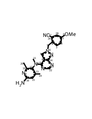 COc1ccc(Cn2cc3c(N(C)c4c(C)cc(N)nc4C)ncnc3n2)c(C#N)c1